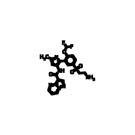 Cn1cc(NC(=O)c2cnn3cccnc23)c(-c2cc(S(=O)(=O)CCN)ccc2OC(F)F)n1